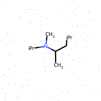 CC(C)CC(C)N(C)C(C)C